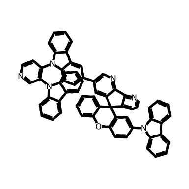 c1ccc2c(c1)Oc1ccc(-n3c4ccccc4c4ccccc43)cc1C21c2cccnc2-c2ncc(-c3ccc4c(c3)c3ccccc3n4-c3ccncc3-n3c4ccccc4c4ccccc43)cc21